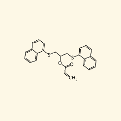 C=CC(=O)OC(CSc1cccc2ccccc12)CSc1cccc2ccccc12